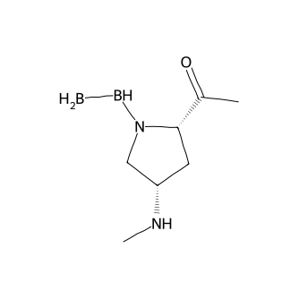 BBN1C[C@@H](NC)C[C@H]1C(C)=O